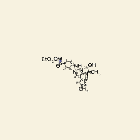 CCOC(=O)/N=[SH](=O)/c1ccc(Nc2ncc(-c3csc(C)c3)c(N[C@H](C)CO)n2)cc1